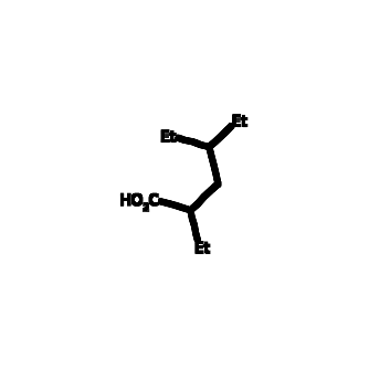 CCC(CC)CC(CC)C(=O)O